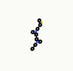 c1ccc(-c2ccc(-n3c4ccccc4c4cc(-c5ccc6c(c5)c5ccccc5n6-c5ccc(-c6ccc7sc8ccccc8c7c6)cc5)ccc43)cc2)cc1